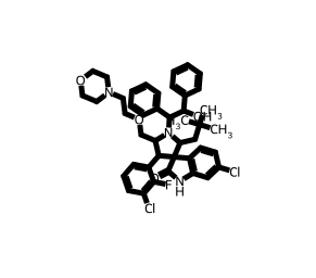 CC(C)(C)CC1N(C(c2ccccc2)C(O)c2ccccc2)C(COCCN2CCOCC2)C(c2cccc(Cl)c2F)C12C(=O)Nc1cc(Cl)ccc12